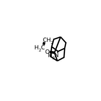 C=C.NC1C2CC3CC1CC(C2)C3=O